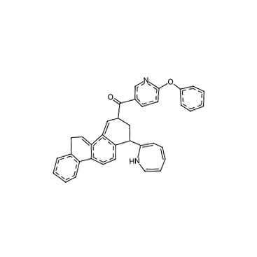 O=C(c1ccc(Oc2ccccc2)nc1)C1C=c2c(ccc3c2=CCc2ccccc2-3)C(C2=CC=CC=CN2)C1